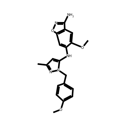 COc1ccc(Cn2nc(C)cc2Nc2cc3onc(N)c3cc2OC)cc1